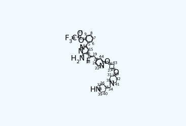 Nc1nnc(-c2ccccc2OC(=O)C(F)(F)F)cc1C(F)=Cc1ccnc(OC2CC(OC3CCN(CC4CCNCC4)CC3)C2)c1